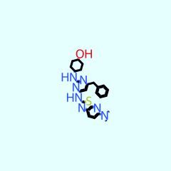 CN(C)c1ccc2nc(Nc3cc(Cc4ccccc4)nc(NC4CCC(O)CC4)n3)sc2n1